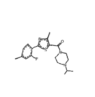 Cc1ccc(-c2nc(C)c(C(=O)N3CCN(C(C)C)CC3)s2)c(F)c1